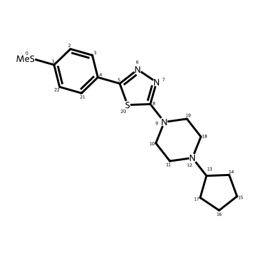 CSc1ccc(-c2nnc(N3CCN(C4CCCC4)CC3)s2)cc1